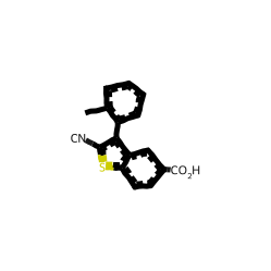 [C-]#[N+]c1sc2ccc(C(=O)O)cc2c1-c1ccccc1C